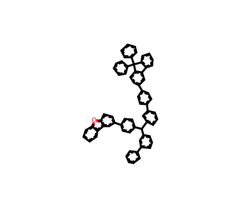 c1ccc(-c2cccc(C(c3ccc(-c4ccc5oc6ccccc6c5c4)cc3)c3cccc(-c4ccc(-c5ccc6c(c5)-c5ccccc5C6(c5ccccc5)c5ccccc5)cc4)c3)c2)cc1